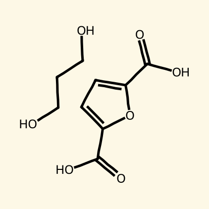 O=C(O)c1ccc(C(=O)O)o1.OCCCO